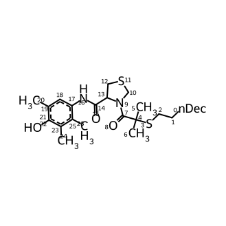 CCCCCCCCCCCCSC(C)(C)C(=O)N1CSCC1C(=O)Nc1cc(C)c(O)c(C)c1C